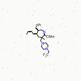 C\C=C/C=C1/CC(C)(CN2CCN(CC(F)(F)F)CC2)C(OC)=NC/C1=C\CCC